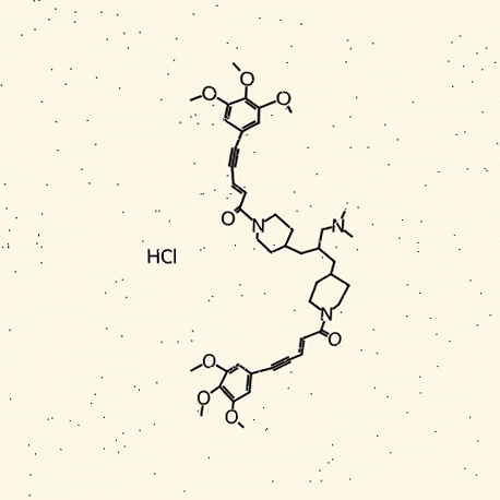 COc1cc(C#CC=CC(=O)N2CCC(CC(CC3CCN(C(=O)C=CC#Cc4cc(OC)c(OC)c(OC)c4)CC3)CN(C)C)CC2)cc(OC)c1OC.Cl